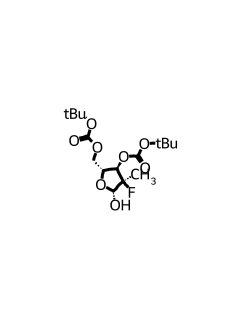 CC(C)(C)OC(=O)OC[C@H]1O[C@@H](O)[C@](C)(F)[C@@H]1OC(=O)OC(C)(C)C